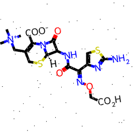 C[N+](C)(C)CC1=C(C(=O)[O-])N2C(=O)C(NC(=O)/C(=N/OCC(=O)O)c3csc(N)n3)[C@H]2SC1